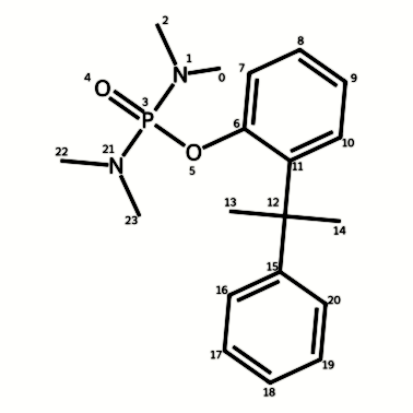 CN(C)P(=O)(Oc1ccccc1C(C)(C)c1ccccc1)N(C)C